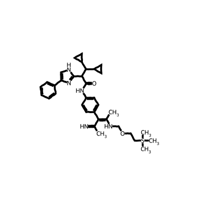 CC(=N)/C(=C(/C)NCOCCS(C)(C)C)c1ccc(NC(=O)C(c2nc(-c3ccccc3)c[nH]2)C(C2CC2)C2CC2)cc1